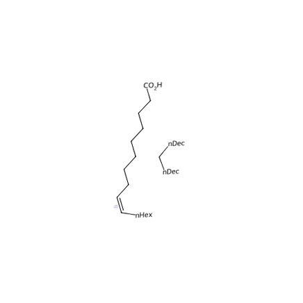 CCCCCC/C=C\CCCCCCCC(=O)O.CCCCCCCCCCCCCCCCCCCCC